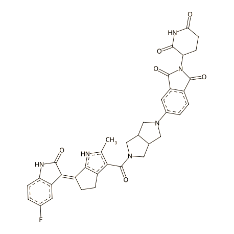 Cc1[nH]c2c(c1C(=O)N1CC3CN(c4ccc5c(c4)C(=O)N(C4CCC(=O)NC4=O)C5=O)CC3C1)CCC2=C1C(=O)Nc2ccc(F)cc21